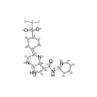 CC(C)S(=O)(=O)c1ccc(-c2cnc3[nH]cc(C(=O)Nc4ccccn4)c3n2)cc1